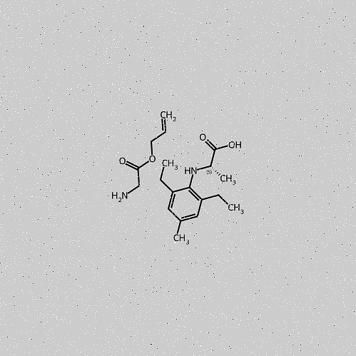 C=CCOC(=O)CN.CCc1cc(C)cc(CC)c1N[C@@H](C)C(=O)O